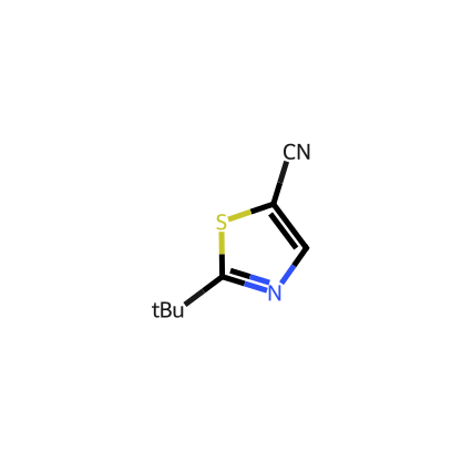 CC(C)(C)c1ncc(C#N)s1